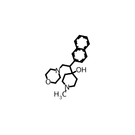 CN1CCC(O)(C(CN2CCOCC2)c2ccc3ccccc3c2)CC1